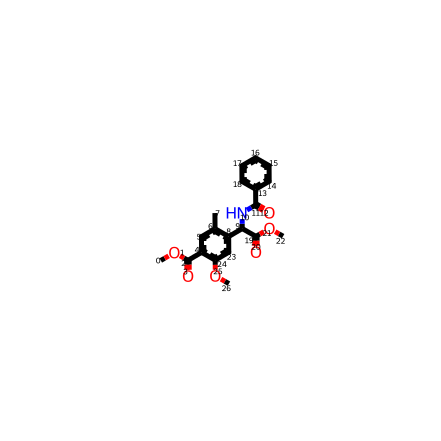 COC(=O)c1cc(C)c(C(NC(=O)c2ccccc2)C(=O)OC)cc1OC